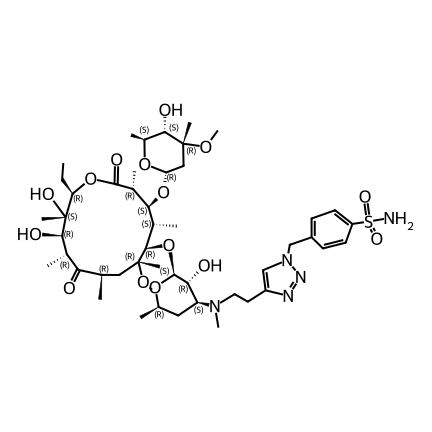 CC[C@H]1OC(=O)[C@H](C)[C@@H](O[C@H]2C[C@@](C)(OC)[C@@H](O)[C@H](C)O2)[C@H](C)[C@@H](O[C@@H]2O[C@H](C)C[C@H](N(C)CCc3cn(Cc4ccc(S(N)(=O)=O)cc4)nn3)[C@H]2O)[C@](C)(OC)C[C@@H](C)C(=O)[C@H](C)[C@@H](O)[C@]1(C)O